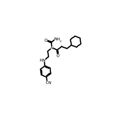 N#Cc1ccc(NCCN(C(N)=O)C(=O)[CH]CC2CCCCC2)cc1